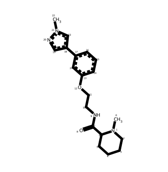 CN1CCCCC1C(=O)NCCOc1c[c]cc(-c2cnn(C)c2)c1